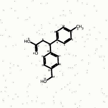 Cc1ccc(C(CC(=O)O)c2ccc(CO)cc2)cc1